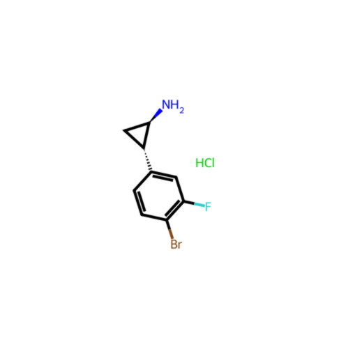 Cl.N[C@@H]1C[C@H]1c1ccc(Br)c(F)c1